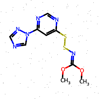 COC(=NSSc1cc(-n2cncn2)ncn1)OC